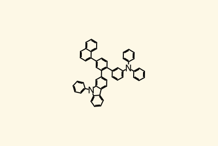 c1ccc(N(c2ccccc2)c2cccc(-c3ccc(-c4cccc5ccccc45)cc3-c3ccc4c5ccccc5n(-c5ccccc5)c4c3)c2)cc1